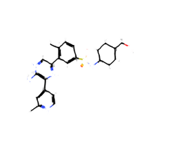 Cc1cc(-c2nc(-c3cc(S(=O)(=O)NC4CCC(CO)CC4)ccc3C)cnc2N)ccn1